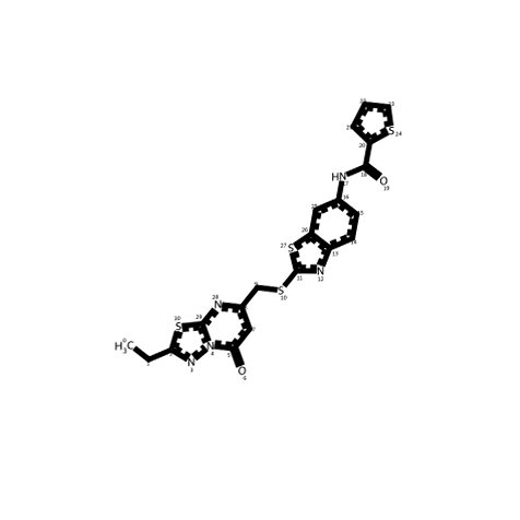 CCc1nn2c(=O)cc(CSc3nc4ccc(NC(=O)c5cccs5)cc4s3)nc2s1